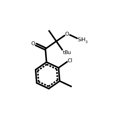 Cc1cccc(C(=O)C(C)(O[SiH3])C(C)(C)C)c1Cl